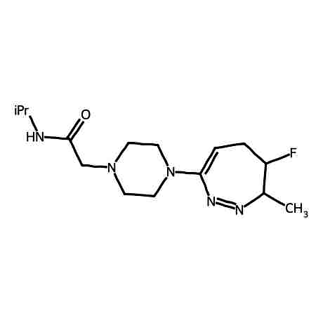 CC(C)NC(=O)CN1CCN(C2=CCC(F)C(C)N=N2)CC1